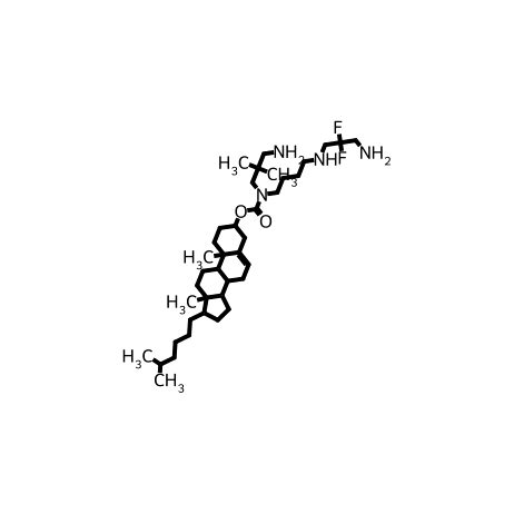 CC(C)CCCCC1CCC2C3CC=C4CC(OC(=O)N(CCCCNCC(F)(F)CN)CC(C)(C)CN)CCC4(C)C3CCC12C